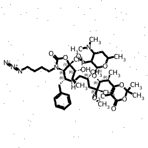 CC[C@@H](O)[C@@]1(C)OC(=O)N(CCCCN=[N+]=[N-])[C@@H]1[C@@H](Cc1ccccc1)NC[C@H](C)C[C@@](C)(OC)[C@H](O[C@@H]1OC(C)CC(N(C)C)C1P=O)[C@@H](C)C1=C(C)C(=O)OC(C)(C)O1